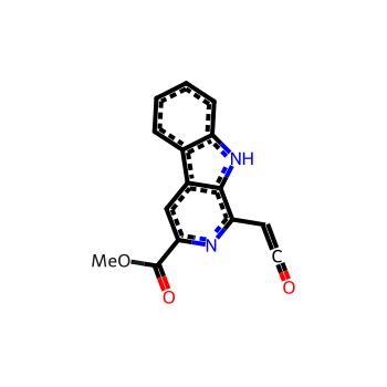 COC(=O)c1cc2c([nH]c3ccccc32)c(C=C=O)n1